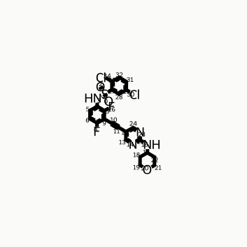 O=S(=O)(Nc1ccc(F)c(C#Cc2cnc(NC3CCOCC3)nc2)c1F)c1cc(Cl)ccc1Cl